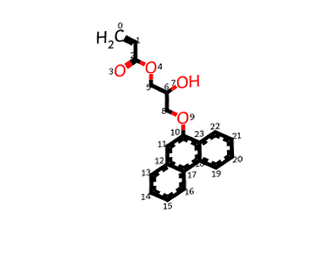 C=CC(=O)OCC(O)COc1cc2ccccc2c2ccccc12